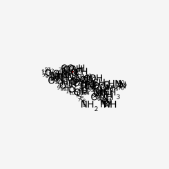 CCc1cc(OCCCCN)ccc1-c1ccc(C[C@H](NC(=O)[C@H](CC(=O)O)NC(=O)[C@H](CO)NC(=O)[C@@H](NC(=O)[C@](C)(Cc2ccccc2F)NC(=O)[C@@H](NC(=O)CNC(=O)[C@H](Cc2nn[nH]n2)NC(=O)C(C)(C)C(=O)NCCc2cnc[nH]2)[C@@H](C)O)[C@@H](C)O)C(=O)Nc2ccccc2)cc1